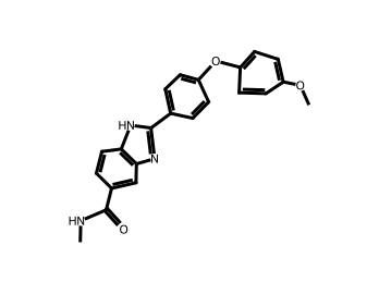 CNC(=O)c1ccc2[nH]c(-c3ccc(Oc4ccc(OC)cc4)cc3)nc2c1